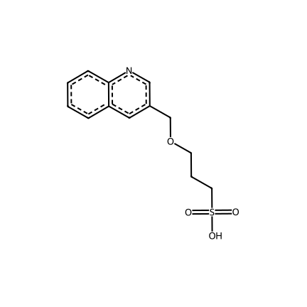 O=S(=O)(O)CCCOCc1cnc2ccccc2c1